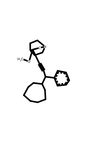 COC1(C#CC(c2ccccc2)C2CCCCCCC2)CN2CCC1CC2